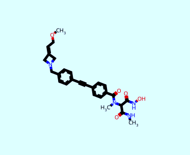 CNC(=O)C(C(=O)NO)N(C)C(=O)c1ccc(C#Cc2ccc(CN3CC(=CCOC)C3)cc2)cc1